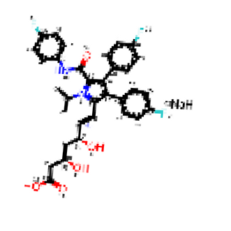 CC(C)n1c(/C=C/[C@@H](O)C[C@@H](O)CC(=O)O)c(-c2ccc(F)cc2)c(-c2ccc(F)cc2)c1C(=O)Nc1ccc(F)cc1.[NaH]